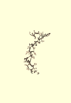 COC(C)c1ccc(C)cc1N1C(=O)CS/C1=N\C(=O)Nc1ccc(-c2cn(-c3ccc(C(F)(F)F)cc3)cn2)cc1